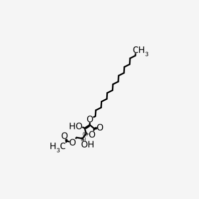 CCCCCCCCCCCCCCCCOC1=C(O)[C@@H]([C@@H](O)COC(C)=O)OC1=O